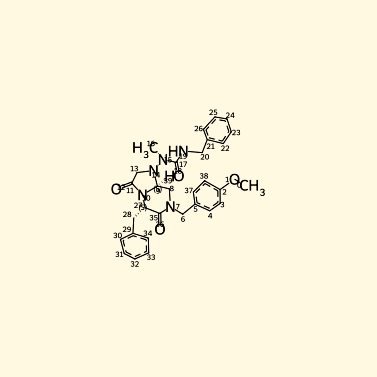 COc1ccc(CN2C[C@H]3N(C(=O)CN3N(C)C(=O)NCc3ccccc3)[C@@H](Cc3ccccc3)C2=O)cc1